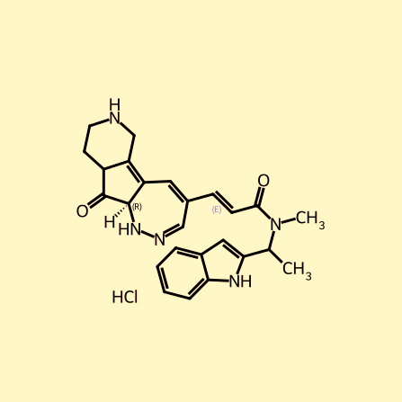 CC(c1cc2ccccc2[nH]1)N(C)C(=O)/C=C/C1=CC2=C3CNCCC3C(=O)[C@@H]2NN=C1.Cl